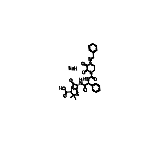 CC1(C)SC2[C@@H](NC(=O)C(NC(=O)N3CCN(/N=C/c4ccccc4)C(=O)C3=O)c3ccccc3)C(=O)N2C1C(=O)O.[NaH]